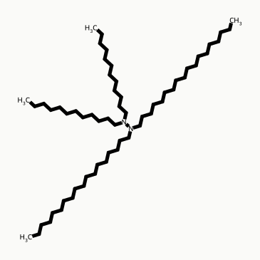 CCCCCCCCCCCCCCCCCCN(CCCCCCCCCCCCCCCCCC)N(CCCCCCCCCCCC)CCCCCCCCCCCC